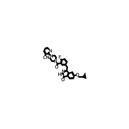 N#Cc1cccnc1N1CCN(C(=O)c2cc(Cc3n[nH]c(=O)c4ccc(OCC5CC5)cc34)ccc2F)CC1